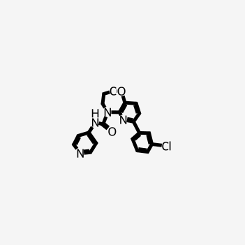 O=C(Nc1ccncc1)N1CCCOc2ccc(-c3cccc(Cl)c3)nc21